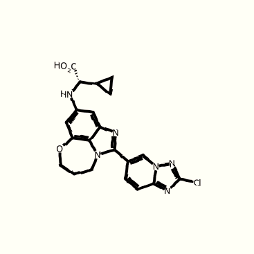 O=C(O)[C@@H](Nc1cc2c3c(c1)nc(-c1ccc4nc(Cl)nn4c1)n3CCCO2)C1CC1